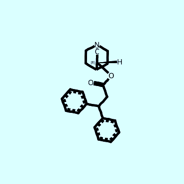 O=C(CC(c1ccccc1)c1ccccc1)O[C@H]1CN2CCC1CC2